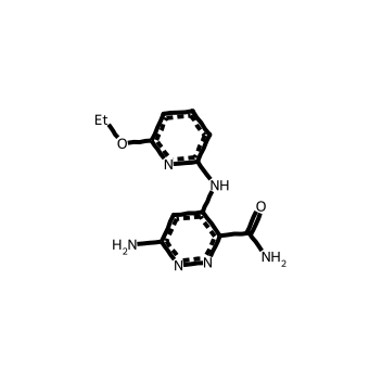 CCOc1cccc(Nc2cc(N)nnc2C(N)=O)n1